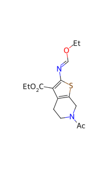 CCOC=Nc1sc2c(c1C(=O)OCC)CCN(C(C)=O)C2